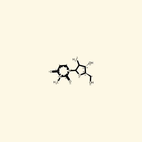 CC1C(n2ccc(=O)n(C)c2=O)O[C@H](CO)[C@H]1O